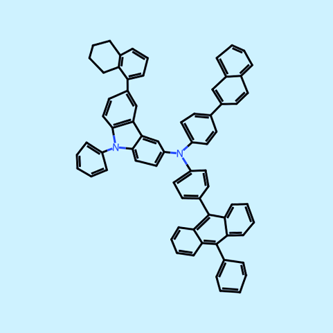 c1ccc(-c2c3ccccc3c(-c3ccc(N(c4ccc(-c5ccc6ccccc6c5)cc4)c4ccc5c(c4)c4cc(-c6cccc7c6CCCC7)ccc4n5-c4ccccc4)cc3)c3ccccc23)cc1